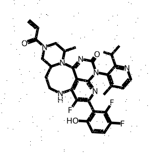 C=CC(=O)N1CC(C)N2c3nc(=O)n(-c4c(C)ccnc4C(C)C)c4nc(-c5c(O)ccc(F)c5F)c(F)c(c34)NCCC2C1